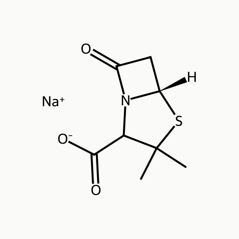 CC1(C)S[C@H]2CC(=O)N2C1C(=O)[O-].[Na+]